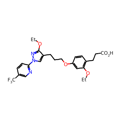 CCOc1cc(OCCCc2cn(-c3ccc(C(F)(F)F)cn3)nc2OCC)ccc1CCC(=O)O